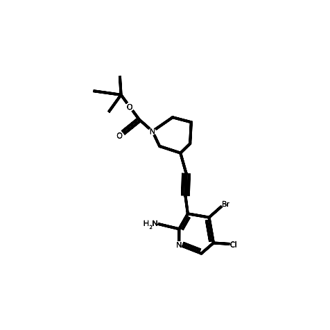 CC(C)(C)OC(=O)N1CCCC(C#Cc2c(N)ncc(Cl)c2Br)C1